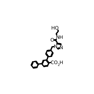 O=C(O)c1ccc(-c2ccccc2)cc1-c1ccc(Cn2cncc2C(=O)NCCO)cc1